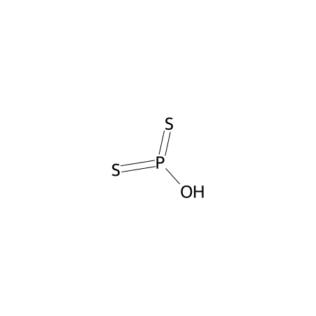 OP(=S)=S